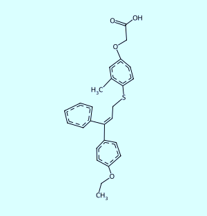 CCOc1ccc(C(=CCSc2ccc(OCC(=O)O)cc2C)c2ccccc2)cc1